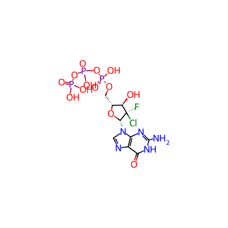 Nc1nc2c(ncn2[C@@H]2O[C@H](COP(=O)(O)OP(=O)(O)OP(=O)(O)O)[C@@H](O)[C@@]2(F)Cl)c(=O)[nH]1